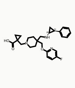 O=C(O)C1(CN2CCC(CN[C@@H]3C[C@H]3c3ccccc3)(COc3ccc(F)cn3)CC2)CC1